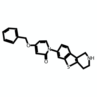 O=c1cc(OCc2ccccc2)ccn1-c1ccc2c3c(sc2c1)CCNC3